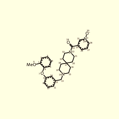 COc1ccccc1Oc1cccc(CN2CCC3(CC2)CCN(C(=O)c2ccc[n+]([O-])c2)CC3)c1